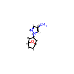 Nc1cnn(C2CC3CCC(C2)O3)c1